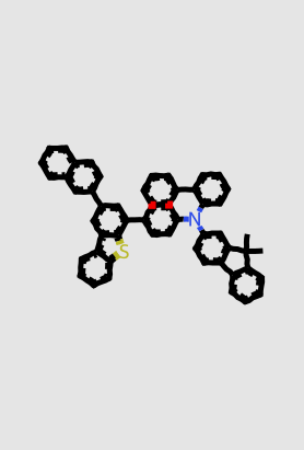 CC1(C)c2ccccc2-c2ccc(N(c3ccc(-c4cc(-c5ccc6ccccc6c5)cc5c4sc4ccccc45)cc3)c3ccccc3-c3ccccc3)cc21